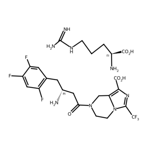 N=C(N)NCCC[C@H](N)C(=O)O.N[C@@H](CC(=O)N1CCn2c(C(F)(F)F)nc(C(=O)O)c2C1)Cc1cc(F)c(F)cc1F